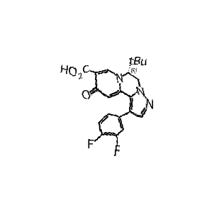 CC(C)(C)[C@@H]1Cn2ncc(-c3ccc(F)c(F)c3)c2-c2cc(=O)c(C(=O)O)cn21